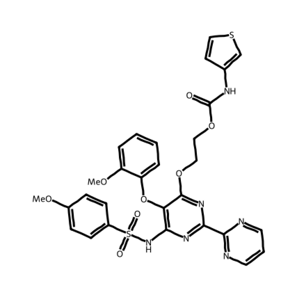 COc1ccc(S(=O)(=O)Nc2nc(-c3ncccn3)nc(OCCOC(=O)Nc3ccsc3)c2Oc2ccccc2OC)cc1